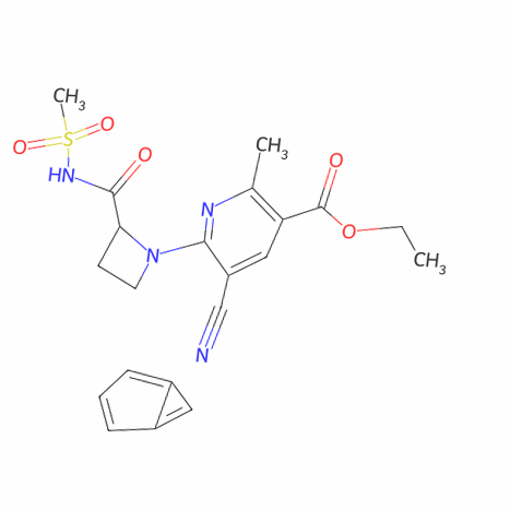 CCOC(=O)c1cc(C#N)c(N2CCC2C(=O)NS(C)(=O)=O)nc1C.c1cc2cc-2c1